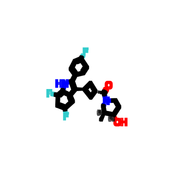 C[C@H]1CN(C(=O)[C@H]2C[C@H](c3c(-c4ccc(F)cc4)[nH]c4c(F)cc(F)cc43)C2)CC[C@@H]1O